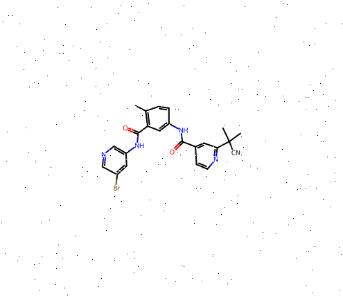 Cc1ccc(NC(=O)c2ccnc(C(C)(C)C#N)c2)cc1C(=O)Nc1cncc(Br)c1